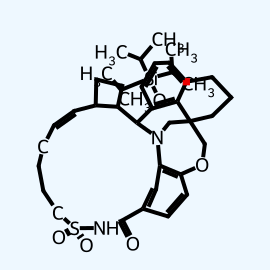 CC(C)[Si](OC1C2CCC2C=CCCCCS(=O)(=O)NC(=O)c2ccc3c(c2)N1CC1(CCCc2ccccc21)CO3)(C(C)C)C(C)C